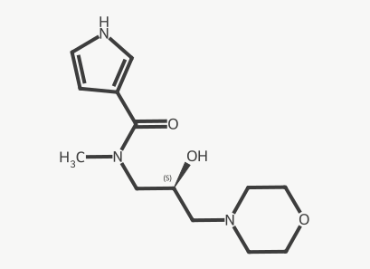 CN(C[C@@H](O)CN1CCOCC1)C(=O)c1cc[nH]c1